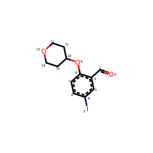 O=Cc1cc(I)ccc1OC1CCOCC1